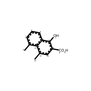 Cc1cccc2c(O)c(C(=O)O)cc(C)c12